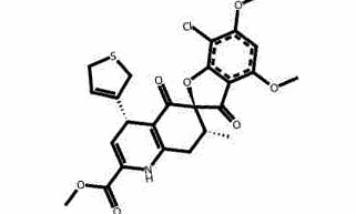 COC(=O)C1=C[C@H](C2=CCSC2)C2=C(C[C@@H](C)[C@]3(Oc4c(Cl)c(OC)cc(OC)c4C3=O)C2=O)N1